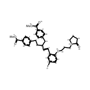 COC(=O)c1ccc(CCC(C=Cc2cc(F)ccc2OCCCN2CCCC2=O)Cc2ccc(C(=O)OC)cc2)cc1